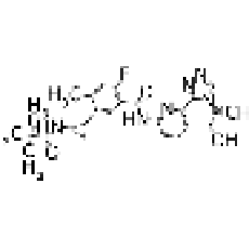 Cc1cc(F)c(C(=O)Nc2cccc(-c3nncn3[C@H](C)CO)n2)cc1C1CC1NC(=O)C(C)(C)C